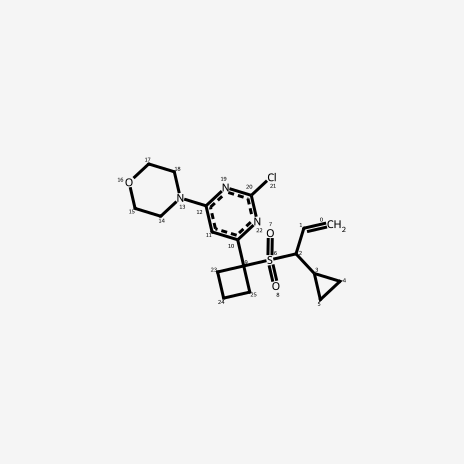 C=CC(C1CC1)S(=O)(=O)C1(c2cc(N3CCOCC3)nc(Cl)n2)CCC1